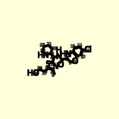 Cc1nc(C(NC(=O)C2COc3cc(Cl)ccc3N2)C2CCCCN2)sc1CCO